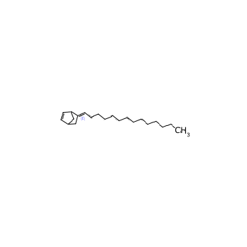 CCCCCCCCCCCCC/C=C1\CC2C=CC1C2